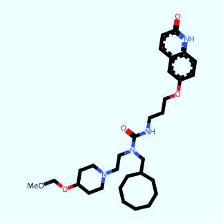 COCOC1CCN(CCN(CC2CCCCCCC2)C(=O)NCCCOc2ccc3[nH]c(=O)ccc3c2)CC1